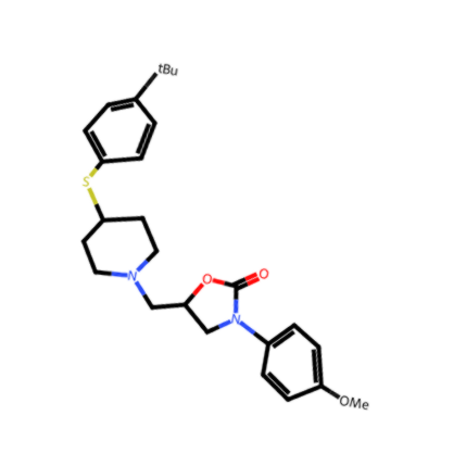 COc1ccc(N2CC(CN3CCC(Sc4ccc(C(C)(C)C)cc4)CC3)OC2=O)cc1